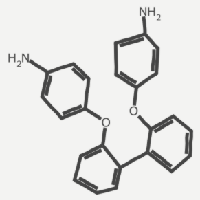 Nc1ccc(Oc2ccccc2-c2ccccc2Oc2ccc(N)cc2)cc1